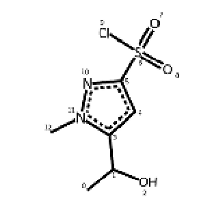 CC(O)c1cc(S(=O)(=O)Cl)nn1C